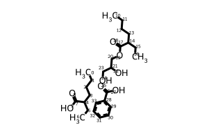 CCCCC(CC)C(=O)O.CCCCC(CC)C(=O)OCC(O)CO.O=C(O)c1ccccc1